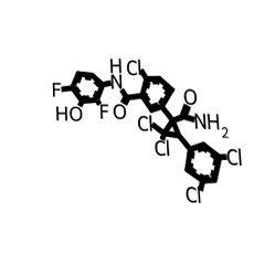 NC(=O)C1(c2ccc(Cl)c(C(=O)Nc3ccc(F)c(O)c3F)c2)C(c2cc(Cl)cc(Cl)c2)C1(Cl)Cl